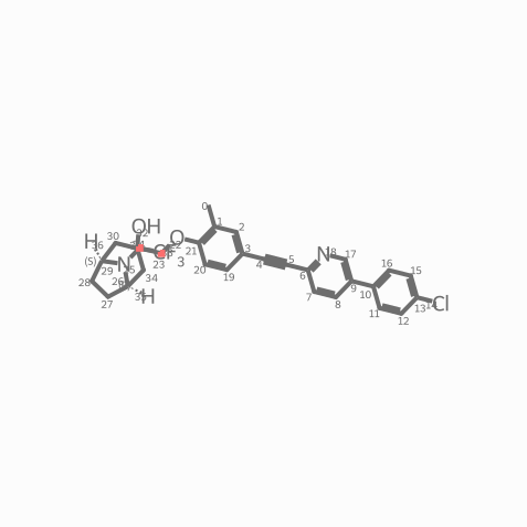 Cc1cc(C#Cc2ccc(-c3ccc(Cl)cc3)cn2)ccc1OCCN1[C@@H]2CC[C@H]1CC(O)(C(F)(F)F)C2